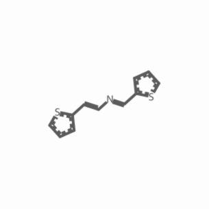 C(=Cc1cccs1)N=Cc1cccs1